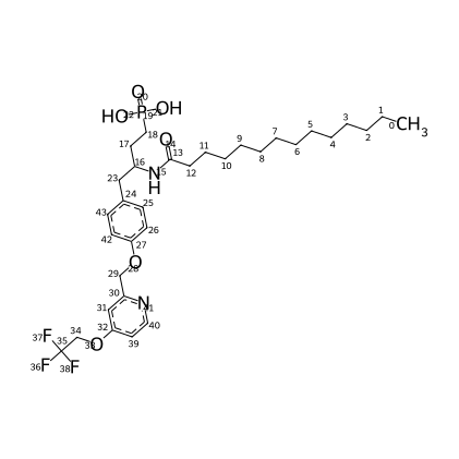 CCCCCCCCCCCCCC(=O)NC(CCP(=O)(O)O)Cc1ccc(OCc2cc(OCC(F)(F)F)ccn2)cc1